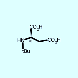 CC(C)(C)N[C@H](CC(=O)O)C(=O)O